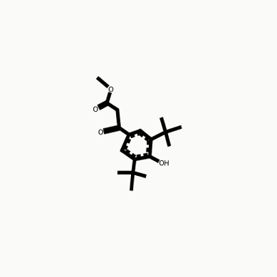 COC(=O)CC(=O)c1cc(C(C)(C)C)c(O)c(C(C)(C)C)c1